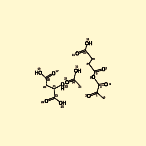 CC(=O)C(=O)OC(=O)CCC(=O)O.CC(=O)O.O=C(O)CC(O)C(=O)O